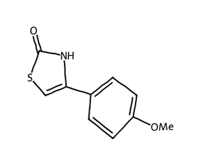 COc1ccc(-c2csc(=O)[nH]2)cc1